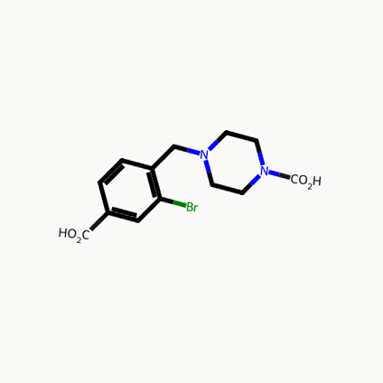 O=C(O)c1ccc(CN2CCN(C(=O)O)CC2)c(Br)c1